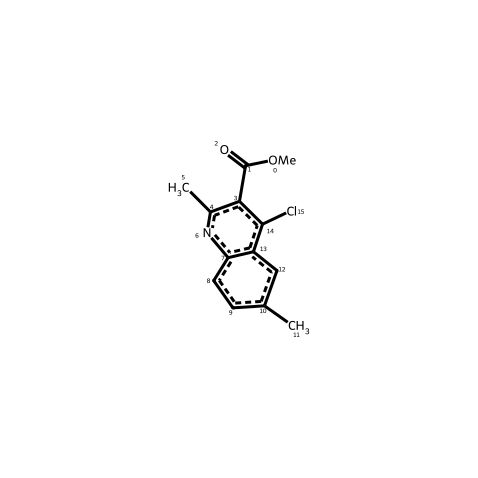 COC(=O)c1c(C)nc2ccc(C)cc2c1Cl